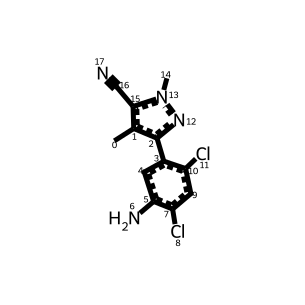 Cc1c(-c2cc(N)c(Cl)cc2Cl)nn(C)c1C#N